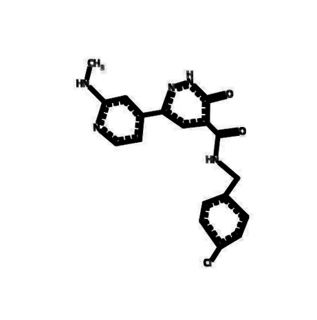 CNc1cc(-c2cc(C(=O)NCc3ccc(Cl)cc3)c(=O)[nH]n2)ccn1